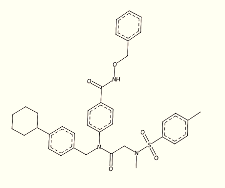 Cc1ccc(S(=O)(=O)N(C)CC(=O)N(Cc2ccc(C3CCCCC3)cc2)c2ccc(C(=O)NOCc3ccccc3)cc2)cc1